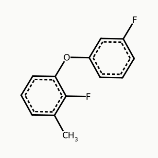 Cc1cccc(Oc2cccc(F)c2)c1F